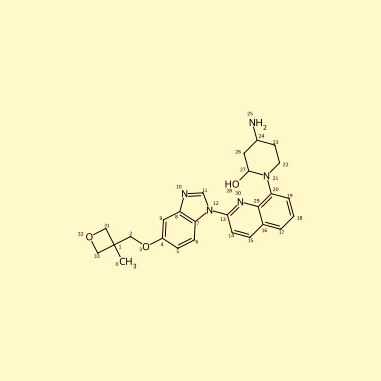 CC1(COc2ccc3c(c2)ncn3-c2ccc3cccc(N4CCC(N)CC4O)c3n2)COC1